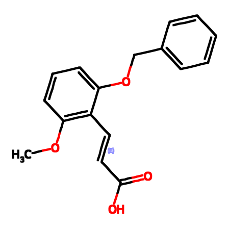 COc1cccc(OCc2ccccc2)c1/C=C/C(=O)O